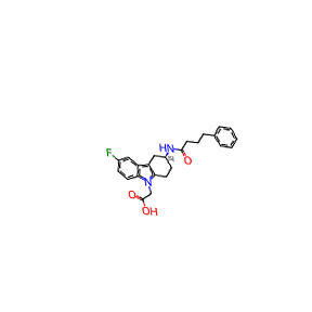 O=C(O)Cn1c2c(c3cc(F)ccc31)C[C@@H](NC(=O)CCCc1ccccc1)CC2